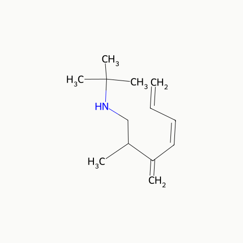 C=C/C=C\C(=C)C(C)CNC(C)(C)C